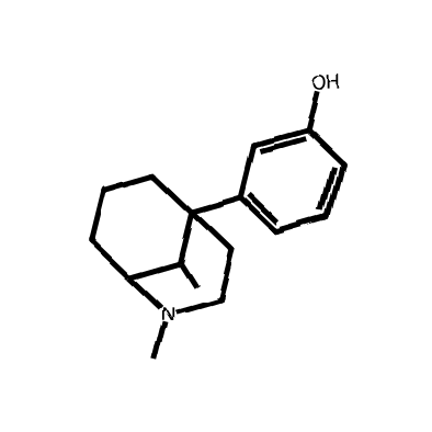 CC1C2CCCC1(c1cccc(O)c1)CCN2C